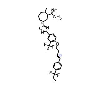 CCC(F)(F)c1ccc(/C=C/CCOc2ccc(-c3noc([C@@H]4CCCC(C)C(C(=N)N)C4)n3)cc2C(F)(F)F)cc1